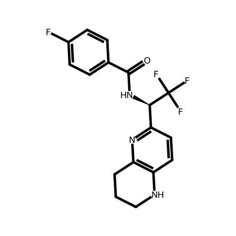 O=C(N[C@H](c1ccc2c(n1)CCCN2)C(F)(F)F)c1ccc(F)cc1